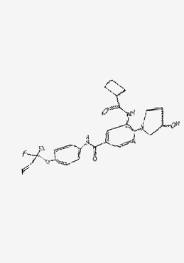 O=C(Nc1ccc(OC(F)(F)Cl)cc1)c1cnc(N2CCC(O)C2)c(NC(=O)C2CCC2)c1